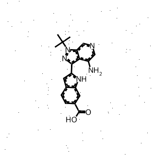 CC(C)(C)n1nc(-c2cc3ccc(C(=O)O)cc3[nH]2)c2c(N)cncc21